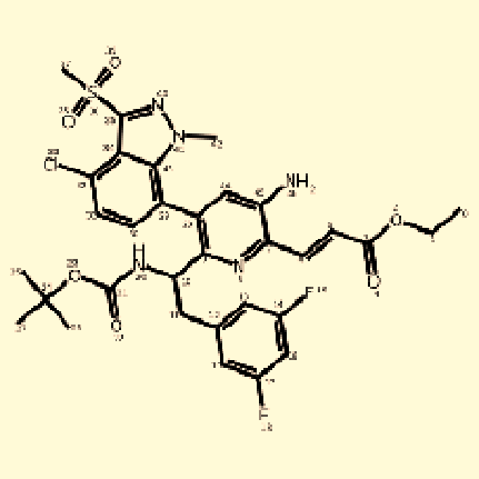 CCOC(=O)C=Cc1nc(C(Cc2cc(F)cc(F)c2)NC(=O)OC(C)(C)C)c(-c2ccc(Cl)c3c(S(C)(=O)=O)nn(C)c23)cc1N